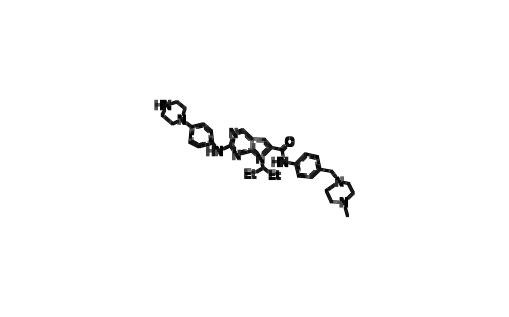 CCC(CC)n1c(C(=O)Nc2ccc(CN3CCN(C)CC3)cc2)cc2cnc(Nc3ccc(N4CCNCC4)cc3)nc21